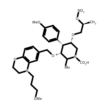 COCCCN1CCOc2ccc(CO[C@H]3C(C(C)(C)C)N(C(=O)O)C[C@@H](OC[C@H](C)O[N+](=O)[O-])[C@H]3c3ccc(OC)cc3)cc21